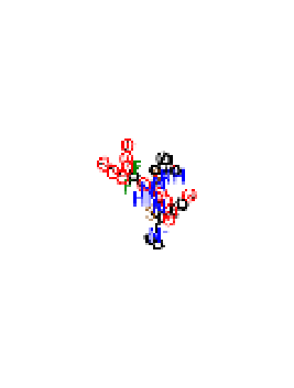 COCCOCOc1c(F)cc(CON=C(C(=O)NC2C(=O)N3C(C(=O)OCc4ccc(OC)cc4)=C(C=CC[n+]4cccc5ccccc54)CSC23)c2csc(NC(c3ccccc3)(c3ccccc3)c3ccccc3)n2)c(F)c1OCOCCOC